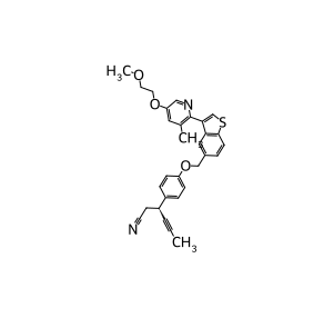 CC#C[C@@H](CC#N)c1ccc(OCc2ccc3scc(-c4ncc(OCCOC)cc4C)c3c2)cc1